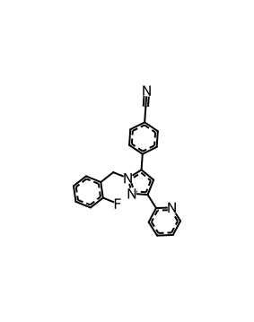 N#Cc1ccc(-c2cc(-c3ccccn3)nn2Cc2ccccc2F)cc1